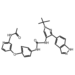 CC(=O)Nc1cc(Oc2ccc(NC(=O)Nc3cn(C(C)(C)C)nc3-c3ccc4[nH]ncc4c3)cc2)ccn1